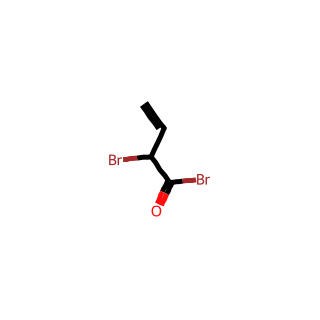 C=CC(Br)C(=O)Br